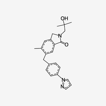 Cc1cc2c(cc1Cc1ccc(-n3cccn3)cc1)C(=O)N(CC(C)(C)O)C2